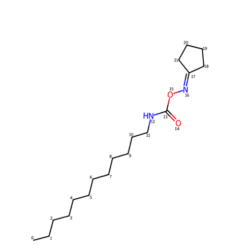 CCCCCCCCCCCCNC(=O)ON=C1CCCC1